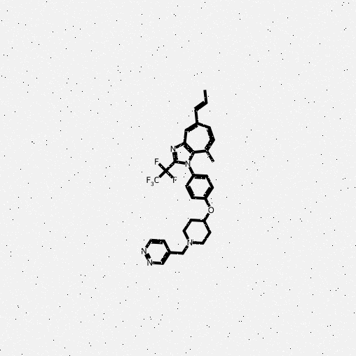 C/C=C/C1=Cc2nc(C(F)(F)C(F)(F)F)n(-c3ccc(OC4CCN(Cc5ccnnc5)CC4)cc3)c2C(C)=C=C1